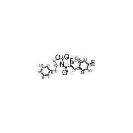 O=C1OCC(Cc2ccccc2)N1C(=O)/C(F)=C/c1ccc(F)cc1F